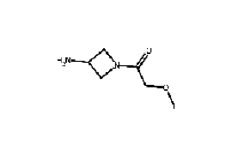 NC1CN(C(=O)COI)C1